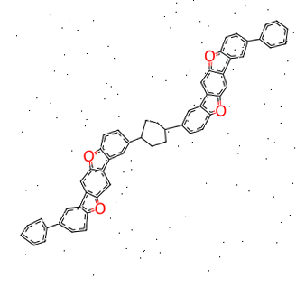 c1ccc(-c2ccc3oc4cc5c(cc4c3c2)oc2ccc(C3CCC(c4ccc6oc7cc8c(cc7c6c4)oc4ccc(-c6ccccc6)cc48)CC3)cc25)cc1